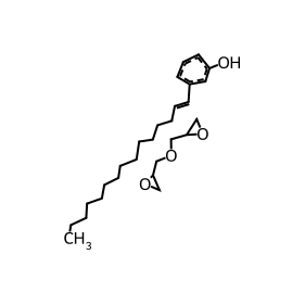 C(OCC1CO1)C1CO1.CCCCCCCCCCCCCC=Cc1cccc(O)c1